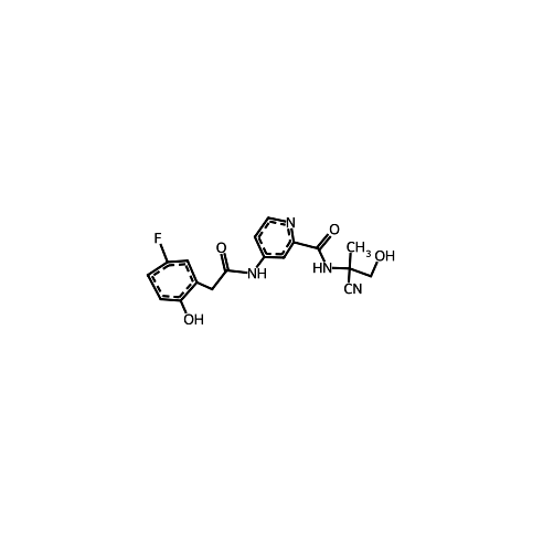 CC(C#N)(CO)NC(=O)c1cc(NC(=O)Cc2cc(F)ccc2O)ccn1